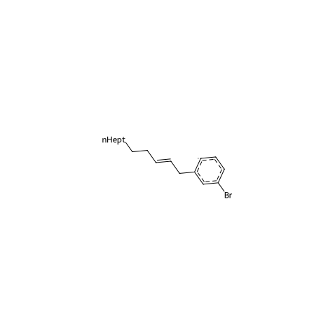 CCCCCCCCCC=CCc1[c]ccc(Br)c1